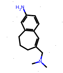 CN(C)CC1=Cc2ccc(N)cc2CCC1